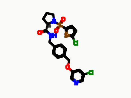 O=C(NCc1ccc(COc2cncc(Cl)c2)cc1)[C@@H]1CCCN1S(=O)(=O)c1ccc(Cl)s1